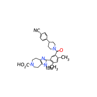 Cc1cc(C)c(-c2nc3c(n2C(C)(C)C)CCN(C(=O)O)CC3)cc1C(=O)N1CCC(c2ccc(C#N)cc2)CC1